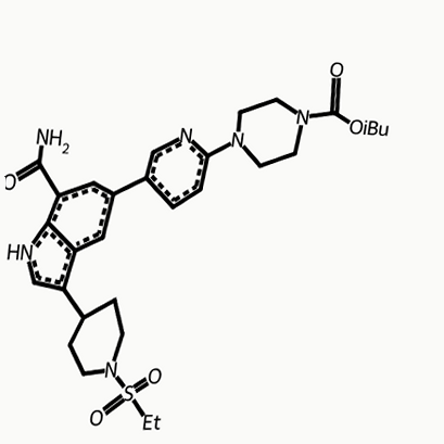 CCS(=O)(=O)N1CCC(c2c[nH]c3c(C(N)=O)cc(-c4ccc(N5CCN(C(=O)OCC(C)C)CC5)nc4)cc23)CC1